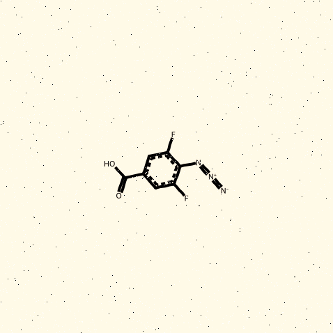 [N-]=[N+]=Nc1c(F)cc(C(=O)O)cc1F